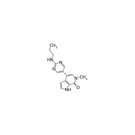 CCCNc1ncc(-c2cn(C)c(=O)c3[nH]ccc23)cn1